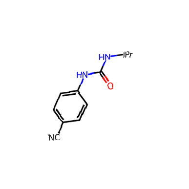 CC(C)NC(=O)Nc1ccc(C#N)cc1